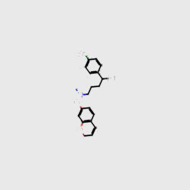 CCC(CCCN(C)Oc1ccc2c(c1)OCC=C2)c1ccc(Br)cc1